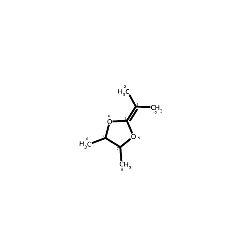 CC(C)=C1OC(C)C(C)O1